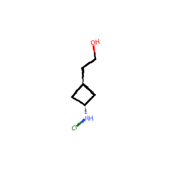 OCC[C@H]1C[C@H](NCl)C1